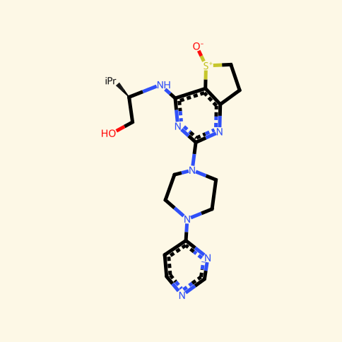 CC(C)[C@H](CO)Nc1nc(N2CCN(c3ccncn3)CC2)nc2c1[S+]([O-])CC2